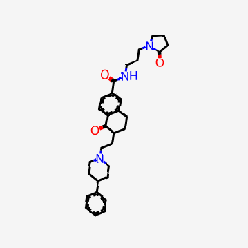 O=C(NCCCN1CCCC1=O)c1ccc2c(c1)CCC(CCN1CCC(c3ccccc3)CC1)C2=O